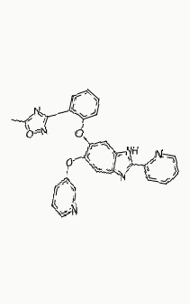 Cc1nc(-c2ccccc2Oc2cc3[nH]c(-c4ccccn4)nc3cc2Oc2cccnc2)no1